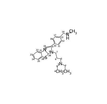 CCN(CC)CCCN1C(c2ccc(CNC)cc2)=CN2c3ccccc3SC12